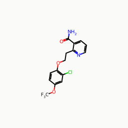 NC(=O)c1cccnc1CCOc1ccc(OC(F)(F)F)cc1Cl